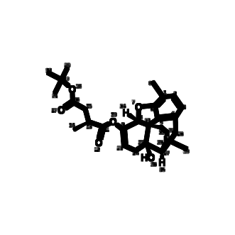 Cc1ccc2c3c1O[C@H]1C(OC(=O)[C@@H](C)CC(=O)OC(C)(C)C)=CC[C@@]4(O)[C@@H](C2)N(C)CC[C@]314